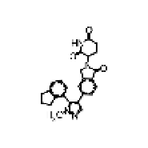 Cn1ncc(-c2ccc3c(c2)CN(C2CCC(=O)NC2=O)C3=O)c1-c1cccc2c1CCC2